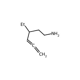 C=C=CC(CC)CCN